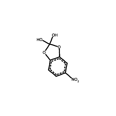 O=[N+]([O-])c1ccc2c(c1)OC(O)(O)O2